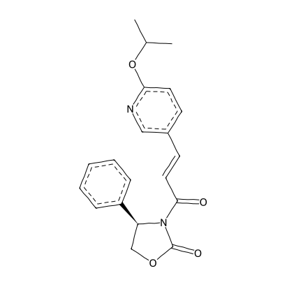 CC(C)Oc1ccc(/C=C/C(=O)N2C(=O)OC[C@H]2c2ccccc2)cn1